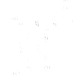 COc1ccc2c(=O)[nH]c(N3CCCC(C)C3)nc2c1OC.Cl